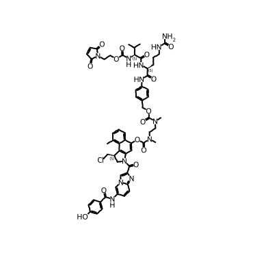 Cc1cccc2c(OC(=O)N(C)CCN(C)C(=O)OCc3ccc(NC(=O)[C@H](CCCNC(N)=O)NC(=O)[C@@H](NC(=O)OCCN4C(=O)C=CC4=O)C(C)C)cc3)cc3c(c12)[C@H](CCl)CN3C(=O)c1cn2cc(NC(=O)c3ccc(O)cc3)ccc2n1